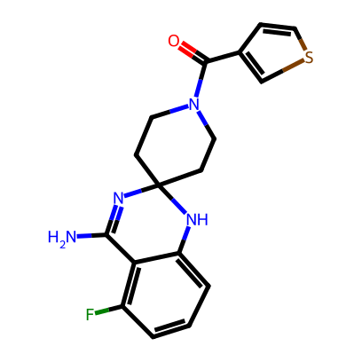 NC1=NC2(CCN(C(=O)c3ccsc3)CC2)Nc2cccc(F)c21